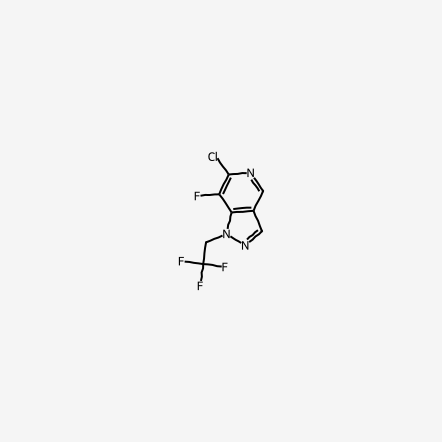 Fc1c(Cl)ncc2cnn(CC(F)(F)F)c12